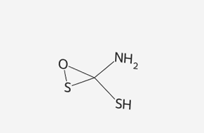 NC1(S)OS1